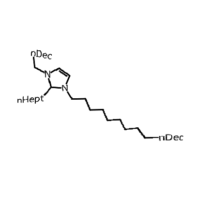 CCCCCCCCCCCCCCCCCCCN1C=CN(CCCCCCCCCCC)C1CCCCCCC